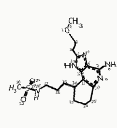 COCCc1nc2c(N)nc3c(c2[nH]1)C(CCCNS(C)(=O)=O)CCC3